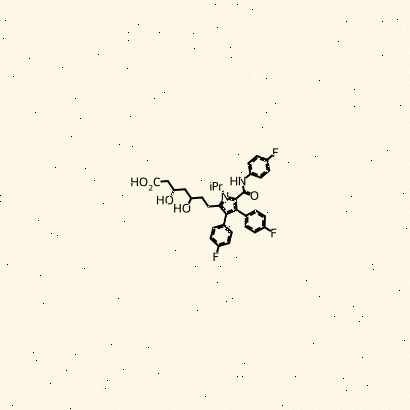 CC(C)n1c(CCC(O)CC(O)CC(=O)O)c(-c2ccc(F)cc2)c(-c2ccc(F)cc2)c1C(=O)Nc1ccc(F)cc1